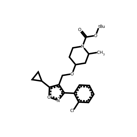 CC1CC(OCc2c(-c3ccccc3Cl)noc2C2CC2)CCN1C(=O)OC(C)(C)C